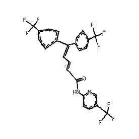 O=C(/C=C/C=C(c1ccc(C(F)(F)F)cc1)c1ccc(C(F)(F)F)cc1)Nc1ccc(C(F)(F)F)cn1